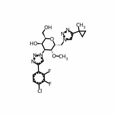 CO[C@@H]1[C@@H](n2cc(-c3ccc(Cl)c(F)c3F)nn2)[C@@H](O)[C@@H](CO)O[C@@H]1Cn1cc(C2(C)CC2)nn1